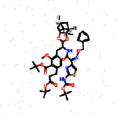 COc1c(CC(NC(=O)/C(=N\OCc2ccccc2)c2csc(NC(=O)OC(C)(C)C)n2)B2OC3C[C@H]4C[C@@H](C4(C)C)[C@]3(C)O2)ccc(CCC(=O)OC(C)(C)C)c1C(=O)OC(C)(C)C